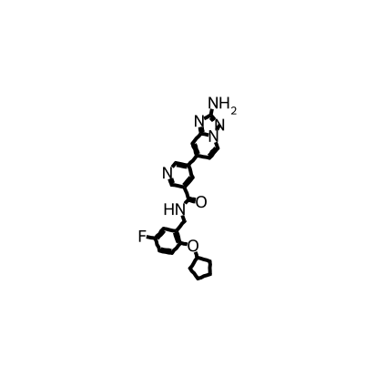 Nc1nc2cc(-c3cncc(C(=O)NCc4cc(F)ccc4OC4CCCC4)c3)ccn2n1